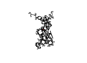 CCCCOC[C@@]1(CF)O[C@@H](n2ccc(NC(c3ccccc3)(c3ccccc3)c3ccc(OC)cc3)nc2=O)[C@H](F)[C@@H]1OCCCC